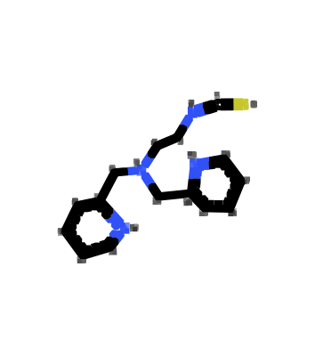 S=C=NCCN(Cc1ccccn1)Cc1ccccn1